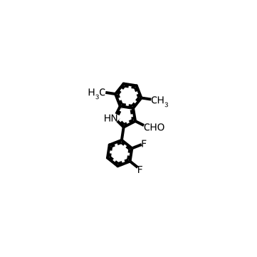 Cc1ccc(C)c2c(C=O)c(-c3cccc(F)c3F)[nH]c12